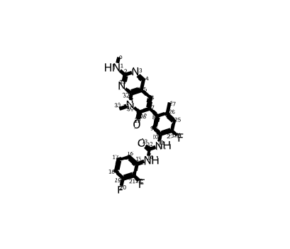 CNc1ncc2cc(-c3cc(NC(=O)Nc4cccc(F)c4F)c(F)cc3C)c(=O)n(C)c2n1